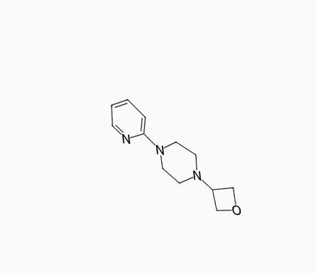 c1ccc(N2CCN(C3COC3)CC2)nc1